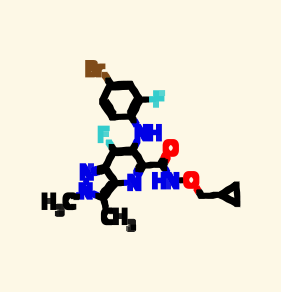 Cc1c2nc(C(=O)NOCC3CC3)c(Nc3ccc(Br)cc3F)c(F)c2nn1C